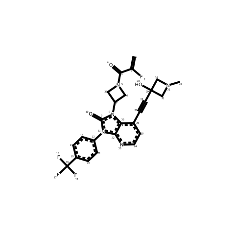 C=C(F)C(=O)N1CC(n2c(=O)n(-c3ccc(C(F)(F)F)cc3)c3nccc(C#CC4(O)CN(C)C4)c32)C1